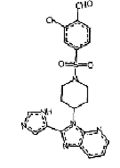 O=Cc1ccc(S(=O)(=O)N2CCC(n3c(-c4cnc[nH]4)nc4cccnc43)CC2)cc1Cl